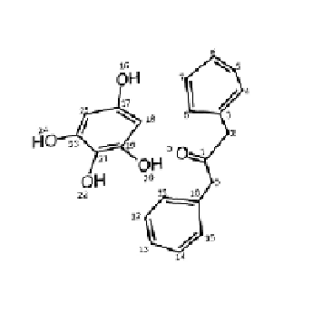 O=C(Cc1ccccc1)Cc1ccccc1.Oc1cc(O)c(O)c(O)c1